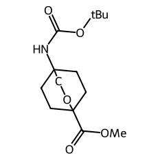 COC(=O)C12CCC(NC(=O)OC(C)(C)C)(CC1)CO2